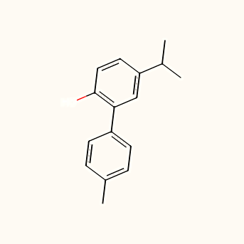 Cc1ccc(-c2cc(C(C)C)ccc2O)cc1